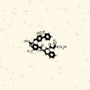 CCCc1nc2c(C)cc(C(=O)N[C@@H](CSC(=O)C[C@H](N)C(=O)O)Cc3ccccc3)cc2n1Cc1ccc(-c2ccccc2C(=O)O)cc1